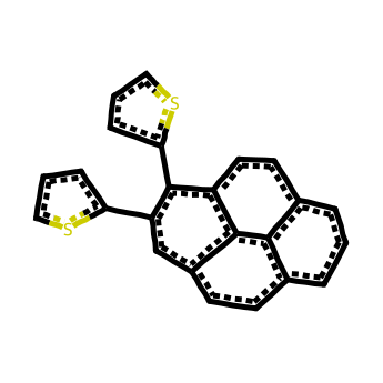 c1csc(-c2cc3ccc4cccc5ccc(c2-c2cccs2)c3c45)c1